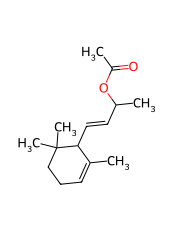 CC(=O)OC(C)/C=C/C1C(C)=CCCC1(C)C